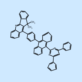 CC1(C)c2ccccc2-c2nc3ccccc3c(-c3ccc(-c4c5ccccc5c(-c5nc(-c6ccccc6)cc(-c6ccccc6)n5)c5ccccc45)cc3)c21